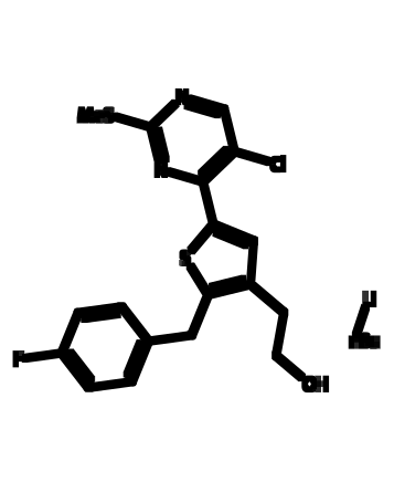 CSc1ncc(Cl)c(-c2cc(CCO)c(Cc3ccc(F)cc3)s2)n1.[Li][CH2]CCC